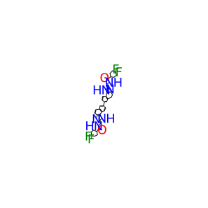 O=C(NCc1nc2c([nH]1)-c1ccc(-c3ccc4c(ccc5nc(CNC(=O)C6CCC(F)(F)CC6)[nH]c54)c3)cc1CC2)C1CCC(F)(F)CC1